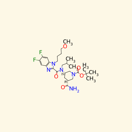 COCCCCn1c(C(=O)N(CC(C)C)[C@H]2C[C@@H](C(N)=O)CN(C(=O)OC(C)(C)C)C2)nc2cc(F)c(F)cc21